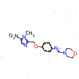 Cn1c([N+](=O)[O-])cnc1COc1ccc(/N=C/N2CCOCC2)cc1